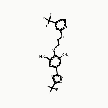 Cc1cc(-c2noc(C(F)(F)F)n2)cc(C)c1OCCOc1nccc(C(F)(F)F)n1